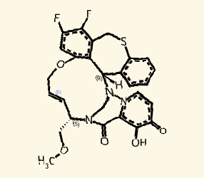 COC[C@@H]1/C=C/COc2cc(F)c(F)c3c2[C@H](c2ccccc2SC3)N2CN1C(=O)c1c(O)c(=O)ccn12